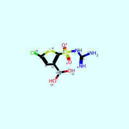 N=C(N)NS(=O)(=O)c1sc(Cl)cc1B(O)O